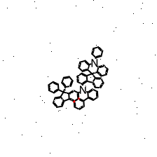 c1ccc(-c2ccccc2N(c2ccc3c(c2)C(c2ccccc2)(c2ccccc2)c2ccccc2-3)c2cccc3c2-c2ccccc2C32c3ccccc3N(c3ccccc3)c3ccccc32)cc1